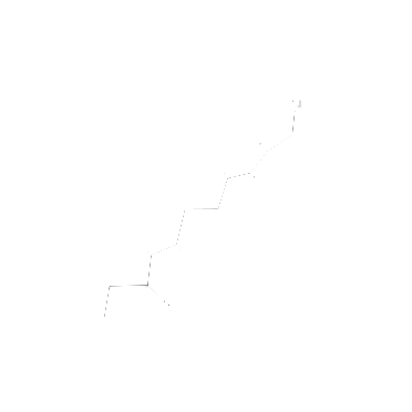 CCC(N)CCCCCCCCN